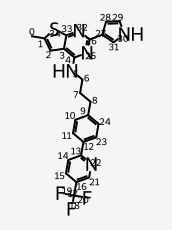 Cc1cc2c(NCCCc3ccc(-c4ccc(C(F)(F)F)cn4)cc3)nc(-c3cc[nH]c3)nc2s1